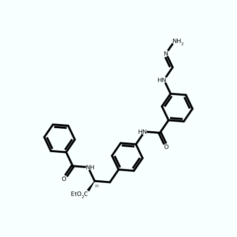 CCOC(=O)[C@H](Cc1ccc(NC(=O)c2cccc(NC=NN)c2)cc1)NC(=O)c1ccccc1